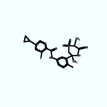 CN1C(=N)N[C@](C)(c2cc(NC(=O)c3ncc(C4CC4)cc3F)ccc2F)CS1(=O)=O